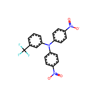 O=[N+]([O-])c1ccc(N(c2ccc([N+](=O)[O-])cc2)c2cccc(C(F)(F)F)c2)cc1